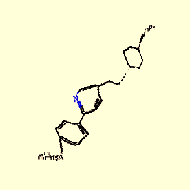 CCCCCCCc1ccc(-c2ccc(CC[C@H]3CC[C@H](CCC)CC3)cn2)cc1